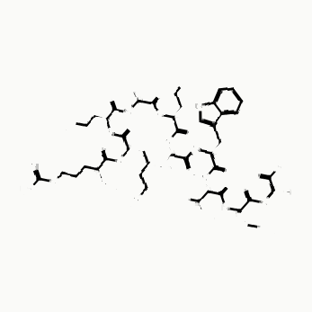 CC[C@H](C)[C@H](NC(=O)[C@H](CCC(=O)O)NC(=O)[C@H](C)NC(=O)[C@H](CCC(=O)O)NC(=O)[C@H](CCCCN)NC(=O)[C@@H](N)CCCNC(=N)N)C(=O)N[C@@H](Cc1c[nH]c2ccccc12)C(=O)N[C@H](C(=O)N[C@@H](CC(=O)O)C(=O)N[C@H](C(N)=O)C(C)C)[C@@H](C)O